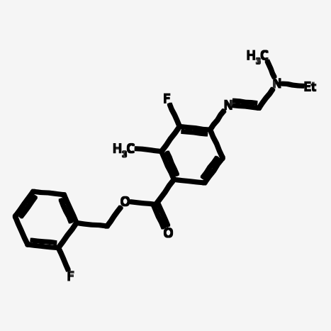 CCN(C)/C=N/c1ccc(C(=O)OCc2ccccc2F)c(C)c1F